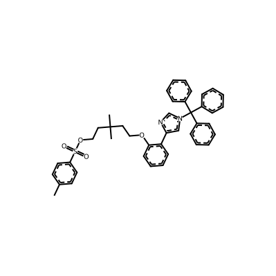 Cc1ccc(S(=O)(=O)OCCC(C)(C)CCOc2ccccc2-c2cn(C(c3ccccc3)(c3ccccc3)c3ccccc3)cn2)cc1